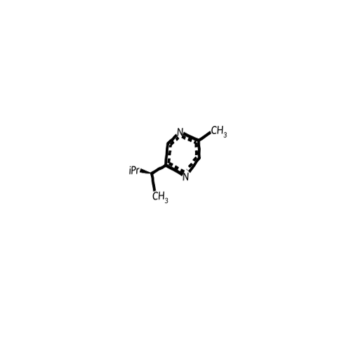 Cc1cnc([C@@H](C)C(C)C)cn1